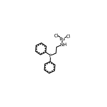 [Cl][Ru]([Cl])[NH]CCP(c1ccccc1)c1ccccc1